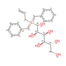 C=CCS(=Cc1ccccc1)(=Cc1ccccc1)C(O)[C@H](O)[C@@H](O)[C@H](O)[C@H](O)CO